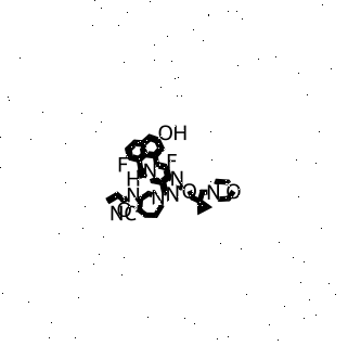 C#Cc1c(F)ccc2cc(O)cc(-c3ncc4c(N5CCC[C@H](C#N)[C@@H](NC(=O)C=C)C5)nc(OCC5(CN6CCOCC6)CC5)nc4c3F)c12